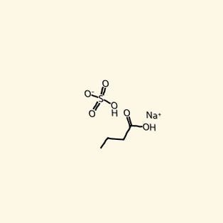 CCCC(=O)O.O=S(=O)([O-])O.[Na+]